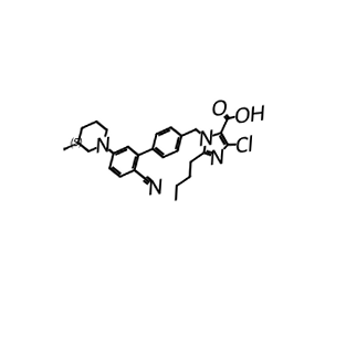 CCCCc1nc(Cl)c(C(=O)O)n1Cc1ccc(-c2cc(N3CCC[C@H](C)C3)ccc2C#N)cc1